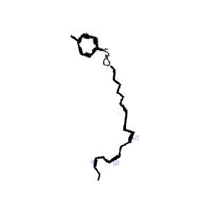 CC/C=C\C/C=C\C/C=C\CCCCCCCCOSc1ccc(C)cc1